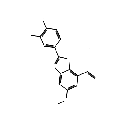 C=Cc1cc(OS(=O)(=O)O)cc2nc(-c3ccc(O)c(F)c3)oc12.[Na]